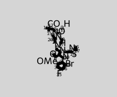 COC(=O)C1=C(CN2CCN3C(=O)N(CC(C)(C)C(=O)O)C[C@]3(C)C2)NC(c2nccs2)=N[C@H]1c1ccc(F)cc1Br